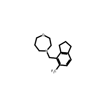 FC(F)(F)c1ccc2c(c1CN1CCCOCC1)CCC2